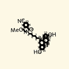 COCCN(CCCCCC[C@@H]1Cc2cc(O)ccc2[C@@H]2[C@@H]1[C@@H]1CC[C@H](O)[C@@]1(C)C[C@@H]2F)C(=O)c1ccc(C#N)cc1